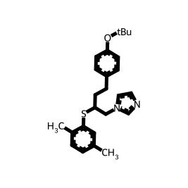 Cc1ccc(C)c(SC(CCc2ccc(OC(C)(C)C)cc2)Cn2ccnc2)c1